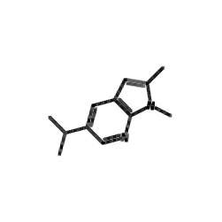 Cc1cc2cc(C(C)C)cnc2n1C